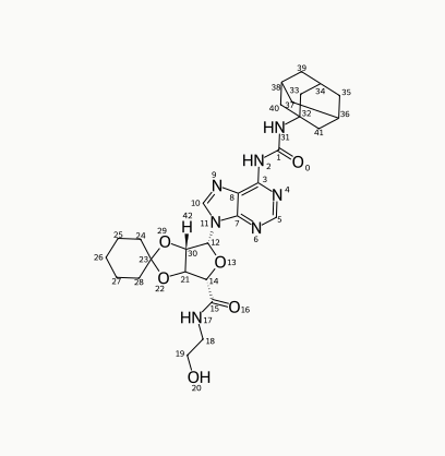 O=C(Nc1ncnc2c1ncn2[C@@H]1O[C@H](C(=O)NCCO)C2OC3(CCCCC3)O[C@@H]21)NC12CC3CC(CC(C3)C1)C2